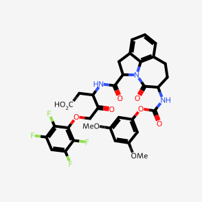 COc1cc(OC)cc(OC(=O)NC2CCc3cccc4c3N(C2=O)C(C(=O)NC(CC(=O)O)C(=O)COc2c(F)c(F)cc(F)c2F)C4)c1